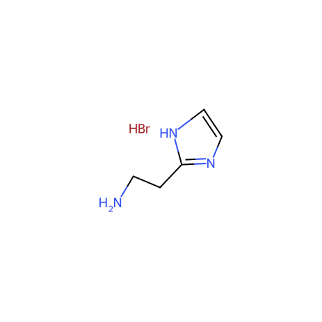 Br.NCCc1ncc[nH]1